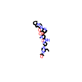 CCC1CN(C2COC2)CCN1c1ccc(Nc2cc(-c3ccnc(N4CCn5c(cc6c5CCCC6)C4=O)c3CO)cn(C)c2=O)nc1